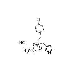 C[C@H]1CO[C@@](CCc2ccc(Cl)cc2)(Cn2ccnc2)O1.Cl